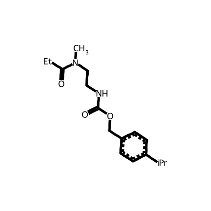 CCC(=O)N(C)CCNC(=O)OCc1ccc(C(C)C)cc1